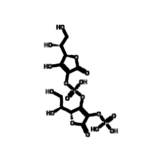 O=C1O[C@H]([C@H](O)CO)C(O)=C1OP(=O)(O)OC1=C(OP(=O)(O)O)C(=O)O[C@@H]1[C@@H](O)CO